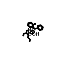 CCCCC(CC)CN(c1cccc(C)c1Cc1ccccc1)S(=O)(=O)O